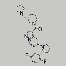 O=C(c1cnn2ccc(N3CCC[C@@H]3c3cc(F)ccc3F)cc12)N1CCC[C@@H](CN2CCCC2)C1